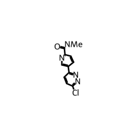 CNC(=O)c1ccc(-c2ccc(Cl)nn2)cn1